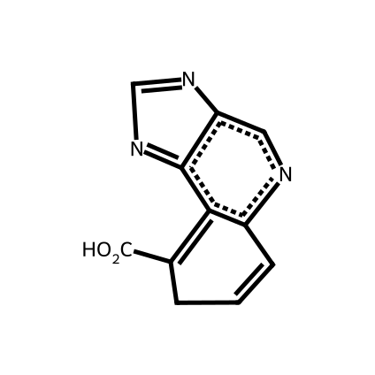 O=C(O)C1=c2c(ncc3c2=NC=N3)C=CC1